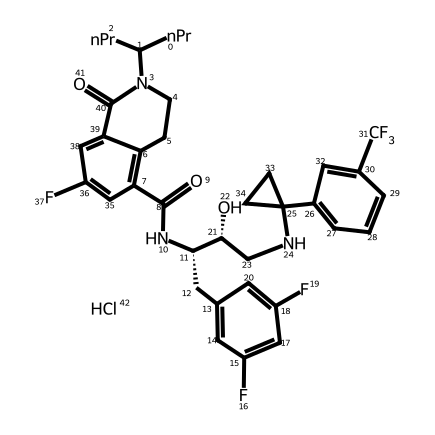 CCCC(CCC)N1CCc2c(C(=O)N[C@@H](Cc3cc(F)cc(F)c3)[C@H](O)CNC3(c4cccc(C(F)(F)F)c4)CC3)cc(F)cc2C1=O.Cl